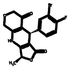 C[C@@H]1OC(=O)C2=C1NC1=C(C(=O)COC1)[C@@H]2c1ccc(F)c(Br)c1